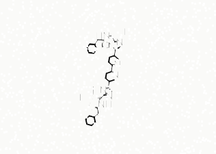 CC(NC(=O)[CH]c1ccccc1)c1ncc(-c2ccc(-c3ccc(-c4cnc([C@H](C)NC(=O)[CH]c5ccccc5)[nH]4)cn3)nc2)[nH]1